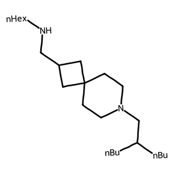 CCCCCCNCC1CC2(CCN(CC(CCCC)CCCC)CC2)C1